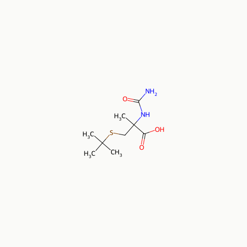 CC(C)(C)SCC(C)(NC(N)=O)C(=O)O